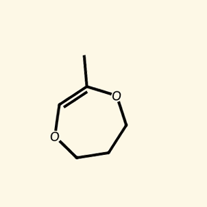 CC1=COCCCO1